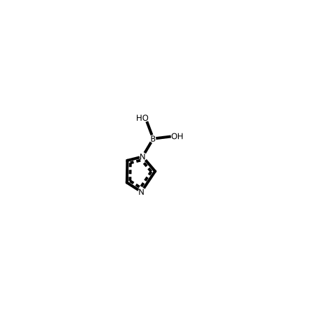 OB(O)n1ccnc1